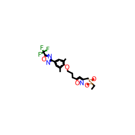 CCS(=O)(=O)Cc1cc(CCCOc2c(C)cc(-c3noc(C(F)(F)F)n3)cc2C)on1